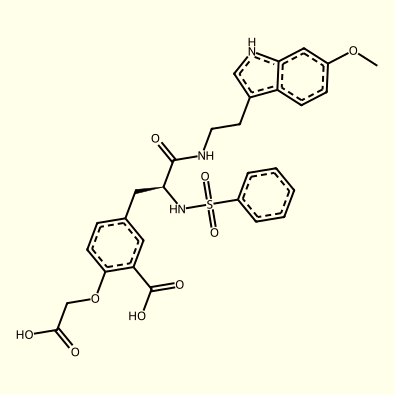 COc1ccc2c(CCNC(=O)[C@H](Cc3ccc(OCC(=O)O)c(C(=O)O)c3)NS(=O)(=O)c3ccccc3)c[nH]c2c1